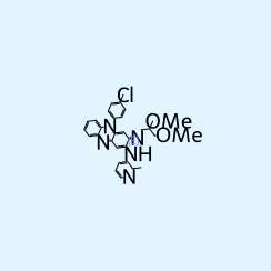 COCC(C/N=c1\cc2n(-c3ccc(Cl)cc3)c3ccccc3nc-2cc1Nc1cccnc1C)OC